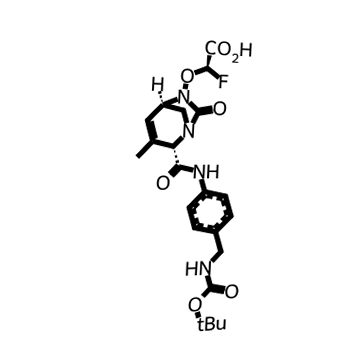 CC1=C[C@@H]2CN(C(=O)N2O[C@H](F)C(=O)O)[C@@H]1C(=O)Nc1ccc(CNC(=O)OC(C)(C)C)cc1